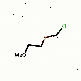 COCCSCCl